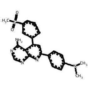 CN(C)c1ccc(-c2cc(-c3cccc(S(C)(=O)=O)c3)c3c(N)ncnc3n2)cc1